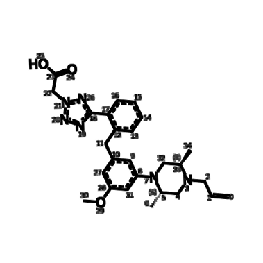 C=CCN1C[C@H](C)N(c2cc(Cc3ccccc3-c3nnn(CC(=O)O)n3)cc(OC)c2)C[C@H]1C